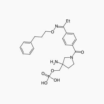 CCC(=NOCCCc1ccccc1)c1ccc(C(=O)N2CCC(N)(COP(=O)(O)O)C2)cc1